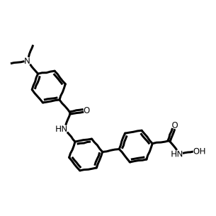 CN(C)c1ccc(C(=O)Nc2cccc(-c3ccc(C(=O)NO)cc3)c2)cc1